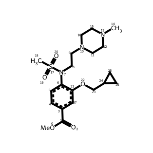 COC(=O)c1ccc(N(CCN2CCN(C)CC2)S(C)(=O)=O)c(OCC2CC2)c1